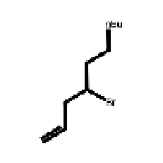 C=CCC(Br)CCCCCC